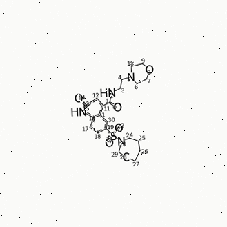 O=C(NCCN1CCOCC1)c1cc(=O)[nH]c2ccc(S(=O)(=O)N3CCCCCC3)cc12